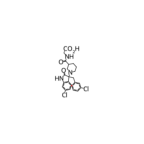 O=C(O)CNC(=O)C1CCCN(C2(Cc3cccc(Cl)c3)C(=O)Nc3cc(Cl)ccc32)C1